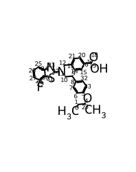 CCC(C)Oc1ccc(CCN(Cc2ccc(C(=O)O)cc2)c2nc3cccc(F)c3s2)cc1